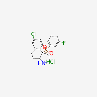 Cl.O=S(=O)(c1cccc(F)c1)C12CCNC1CCc1cc(Cl)ccc12